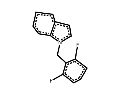 Fc1cccc(F)c1Cn1ccc2ccccc21